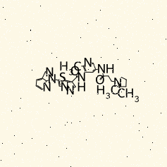 Cc1ncc(NC(=O)CCN2CCCC2(C)C)cc1NC(=O)c1cnn2cc(-n3ncc4cccnc43)sc12